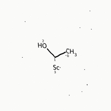 CCO.[Sc]